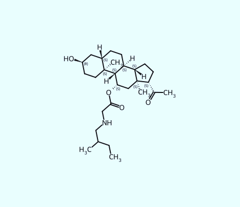 CCC(C)CNCC(=O)O[C@H]1C[C@]2(C)[C@@H](C(C)=O)CC[C@H]2[C@@H]2CC[C@H]3C[C@H](O)CC[C@]3(C)[C@H]21